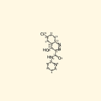 O=C(Nc1ccccn1)c1nnc2ccc(Cl)cc2c1O